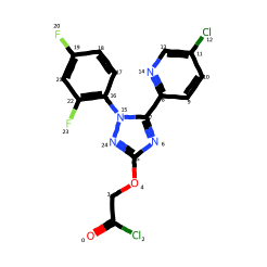 O=C(Cl)COc1nc(-c2ccc(Cl)cn2)n(-c2ccc(F)cc2F)n1